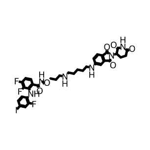 O=C1CCC(N2C(=O)c3ccc(NCCCCCNCCCONC(=O)c4ccc(F)c(F)c4Nc4ccc(I)cc4F)cc3C2=O)C(=O)N1